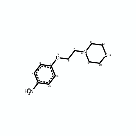 Nc1ccc(OCCN2CCSCC2)cc1